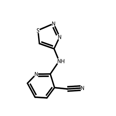 N#Cc1cccnc1Nc1csnn1